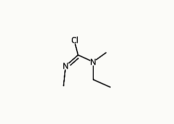 CCN(C)/C(Cl)=N\C